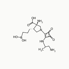 CC(CN)Nc1c(N2C[C@H](CCCB(O)O)[C@](N)(C(=O)O)C2)c(=O)c1=O